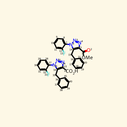 COC(=O)c1nnn(-c2ccccc2F)c1Cc1ccccc1.O=C(O)c1nnn(-c2ccccc2F)c1Cc1ccccc1